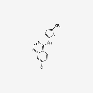 FC(F)(F)c1ccc(Nc2ncnc3cc(Cl)ccc23)s1